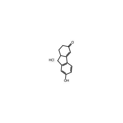 Cl.O=C1C=C2c3ccc(O)cc3CC2CC1